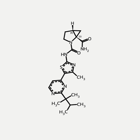 Cc1nc(NC(=O)N2CC[C@@H]3C[C@@]32C(N)=O)sc1-c1ccnc(C(C)(C)C(C)C)n1